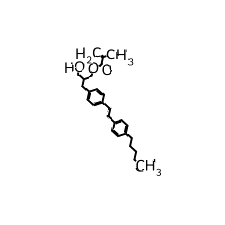 C=C(C)C(=O)OCC(CO)Cc1ccc(CCc2ccc(CCCCC)cc2)cc1